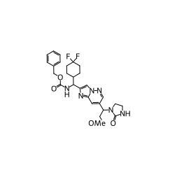 COCC(c1cnn2cc(C(NC(=O)OCc3ccccc3)C3CCC(F)(F)CC3)nc2c1)N1CCNC1=O